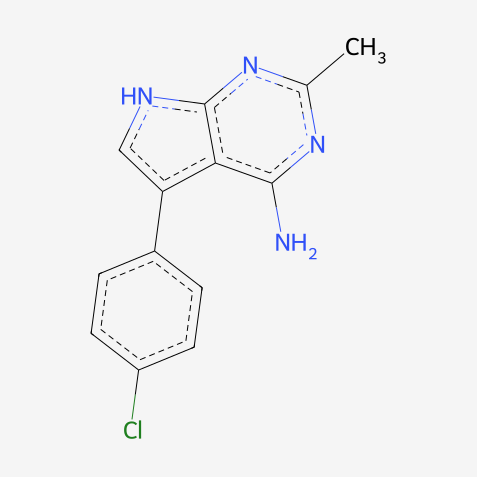 Cc1nc(N)c2c(-c3ccc(Cl)cc3)c[nH]c2n1